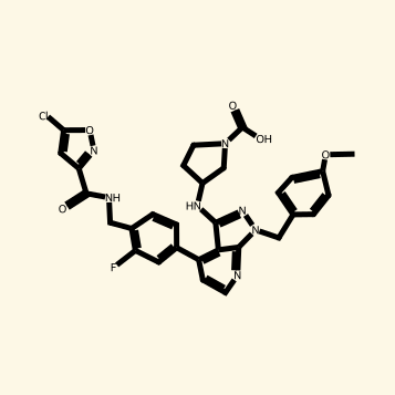 COc1ccc(Cn2nc(NC3CCN(C(=O)O)C3)c3c(-c4ccc(CNC(=O)c5cc(Cl)on5)c(F)c4)ccnc32)cc1